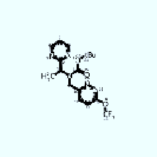 CC(c1ncccn1)N(Cc1ccc(OC(F)(F)F)nn1)C(=O)OC(C)(C)C